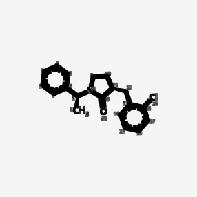 C[C@@H](c1ccccc1)N1CC[C@@H](Cc2ccccc2Cl)C1=O